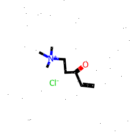 C=CC(=O)CC[N+](C)(C)C.[Cl-]